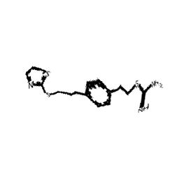 N=C(N)SCCc1ccc(CCSc2nccs2)cc1